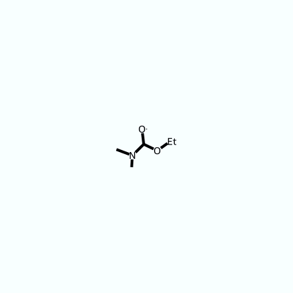 CCOC([O])N(C)C